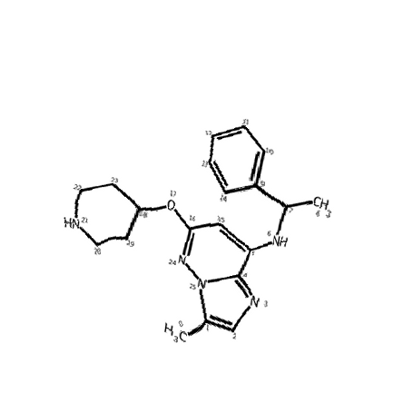 Cc1cnc2c(NC(C)c3ccccc3)cc(OC3CCNCC3)nn12